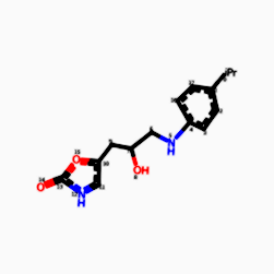 CC(C)c1ccc(NCC(O)Cc2c[nH]c(=O)o2)cc1